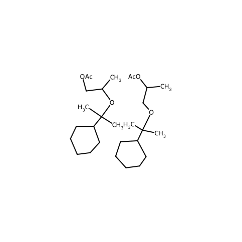 CC(=O)OC(C)COC(C)(C)C1CCCCC1.CC(=O)OCC(C)OC(C)(C)C1CCCCC1